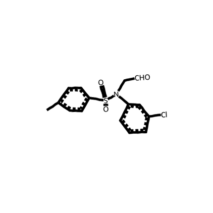 Cc1ccc(S(=O)(=O)N(CC=O)c2cccc(Cl)c2)cc1